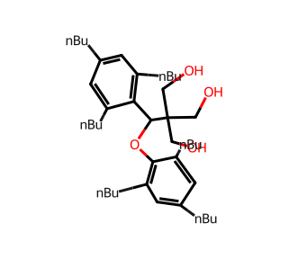 CCCCc1cc(CCCC)c(OC(c2c(CCCC)cc(CCCC)cc2CCCC)C(CO)(CO)CO)c(CCCC)c1